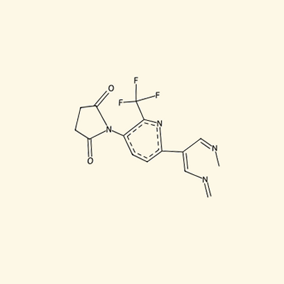 C=N/C=C(\C=N/C)c1ccc(N2C(=O)CCC2=O)c(C(F)(F)F)n1